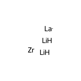 [La].[LiH].[LiH].[Zr]